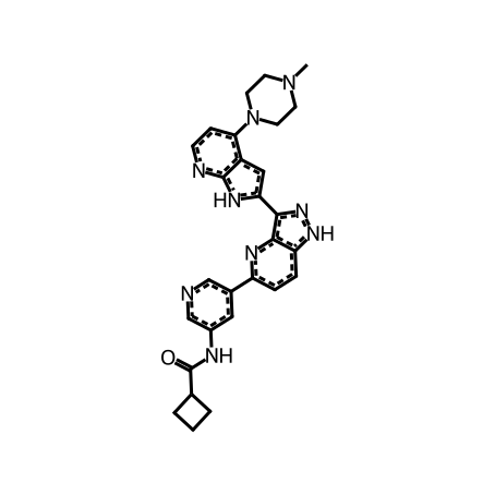 CN1CCN(c2ccnc3[nH]c(-c4n[nH]c5ccc(-c6cncc(NC(=O)C7CCC7)c6)nc45)cc23)CC1